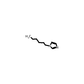 CCCCCCn1[c]ncc1